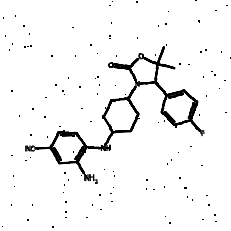 CC1(C)OC(=O)N(C2CCC(Nc3ccc(C#N)cc3N)CC2)C1c1ccc(F)cc1